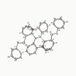 COc1ccccc1C(c1ccccc1OCc1ccccc1)C(c1ccccc1OC)c1ccccc1OCc1ccccc1